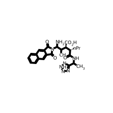 CCC[C@H](C(=O)NC(C)c1nnn[nH]1)[C@H](C(=O)O)C(C)C(N)N1C(=O)c2cc3ccccc3cc2C1=O